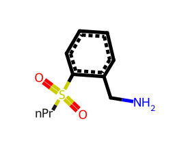 CCCS(=O)(=O)c1ccccc1CN